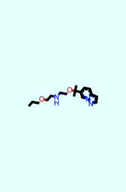 CCCOCCNCCOC(C)(C)c1ccc2ccnn2c1